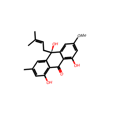 COc1cc(O)c2c(c1)[C@@](O)(CC=C(C)C)c1cc(C)cc(O)c1C2=O